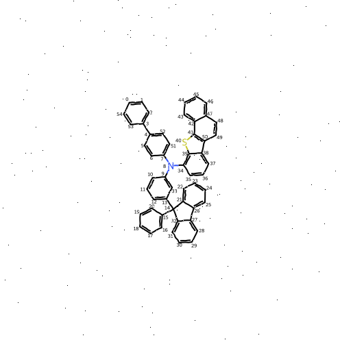 c1ccc(-c2ccc(N(c3cccc(C4(c5ccccc5)c5ccccc5-c5ccccc54)c3)c3cccc4c3sc3c5ccccc5ccc43)cc2)cc1